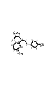 CNC(=O)CC(CCc1ccc(C#N)cc1)c1cccc(C#N)c1